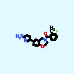 Cc1c(F)cccc1C(=O)N1CCOc2ccc(-c3ccc(N)nc3)cc2C1